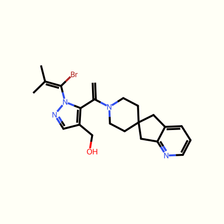 C=C(c1c(CO)cnn1C(Br)=C(C)C)N1CCC2(CC1)Cc1cccnc1C2